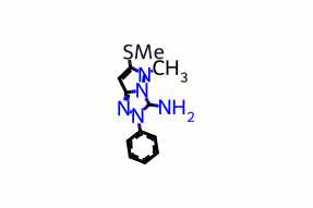 CSC1=CC2=NN(c3ccccc3)C(N)N2N1C